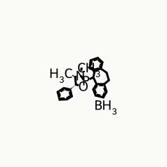 B.C[C@H]1[C@@H](c2ccccc2)OP(C2c3ccccc3CCc3ccccc32)N1C